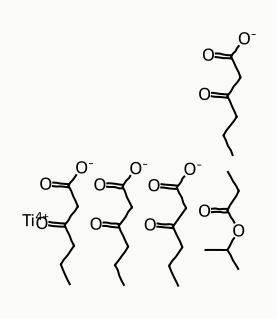 CCC(=O)OC(C)C.CCCC(=O)CC(=O)[O-].CCCC(=O)CC(=O)[O-].CCCC(=O)CC(=O)[O-].CCCC(=O)CC(=O)[O-].[Ti+4]